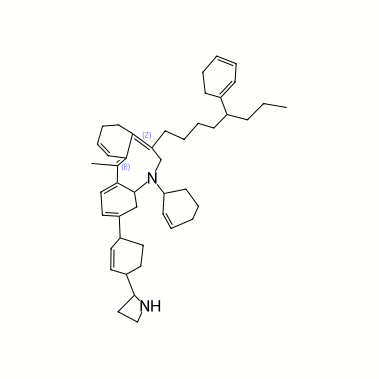 CCCC(CCCC/C1=C2\CCC=C\C2=C(\C)C2=CC=C(C3C=CC(C4CCN4)CC3)CC2N(C2C=CCCC2)C1)C1=CC=CCC1